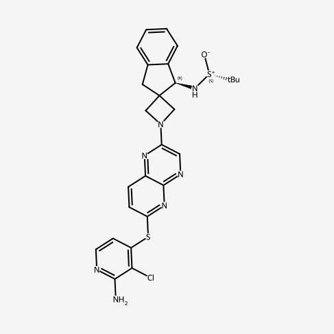 CC(C)(C)[S@@+]([O-])N[C@@H]1c2ccccc2CC12CN(c1cnc3nc(Sc4ccnc(N)c4Cl)ccc3n1)C2